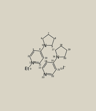 CC[n+]1ccc(N2CCCC2)cc1.[I-].c1cc(N2CCCC2)ccn1